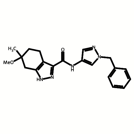 COC1(C)CCc2c(C(=O)Nc3cnn(Cc4ccccc4)c3)n[nH]c2C1